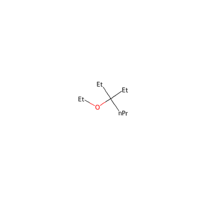 CCCC(CC)(CC)OCC